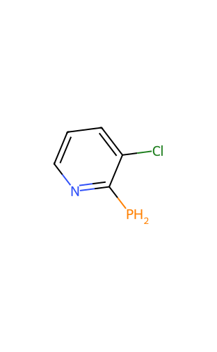 Pc1ncccc1Cl